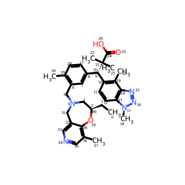 CC[C@@H]1CN(Cc2cc([C@@H](c3ccc4c(nnn4C)c3C)C(C)(C)C(=O)O)ccc2C)Cc2cncc(C)c2O1